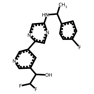 CC(Nc1cnc(-c2cncc(C(O)C(F)F)c2)cn1)c1ccc(F)cc1